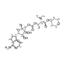 C[C@@H](OC(=O)OC1[C@H]2O[C@@H](c3ccc4c(N)ncnn34)[C@H](O)[C@@]12O)[C@@H](C(=O)OC1CCOCC1)N(C)C